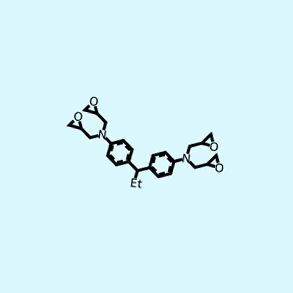 CCC(c1ccc(N(CC2CO2)CC2CO2)cc1)c1ccc(N(CC2CO2)CC2CO2)cc1